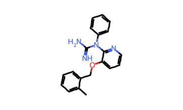 Cc1ccccc1COc1cccnc1N(C(=N)N)c1ccccc1